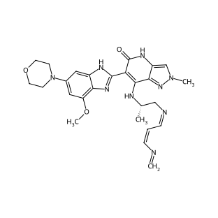 C=N/C=C\C=N/C[C@H](C)Nc1c(-c2nc3c(OC)cc(N4CCOCC4)cc3[nH]2)c(=O)[nH]c2cn(C)nc12